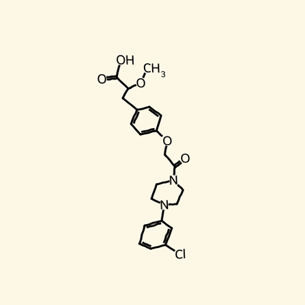 COC(Cc1ccc(OCC(=O)N2CCN(c3cccc(Cl)c3)CC2)cc1)C(=O)O